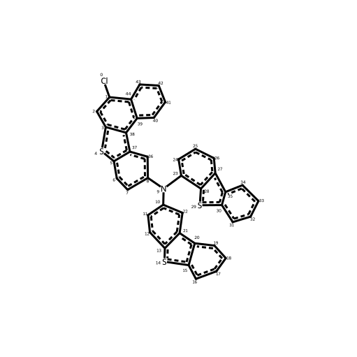 Clc1cc2sc3ccc(N(c4ccc5sc6ccccc6c5c4)c4cccc5c4sc4ccccc45)cc3c2c2ccccc12